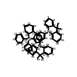 CC1(C)c2ccccc2N(c2cc(-c3ccccc3[Si](c3ccccc3)(c3ccccc3)c3ccccc3)cc(N3c4ccccc4C(C)(C)c4ccccc43)c2)c2ccccc21